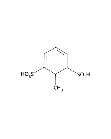 CC1C(S(=O)(=O)O)=CC=CC1S(=O)(=O)O